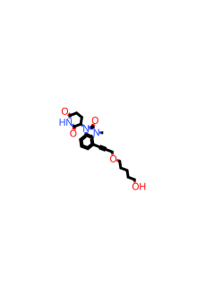 Cn1c(=O)n(C2CCC(=O)NC2=O)c2cccc(C#CCOCCCCCO)c21